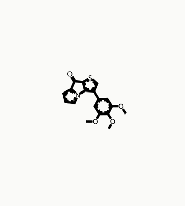 COc1cc(-c2csc3c2-n2cccc2C3=O)cc(OC)c1OC